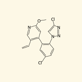 C=Cc1cnc(OC)cc1-c1cc(Cl)ccc1-n1cc(Cl)nn1